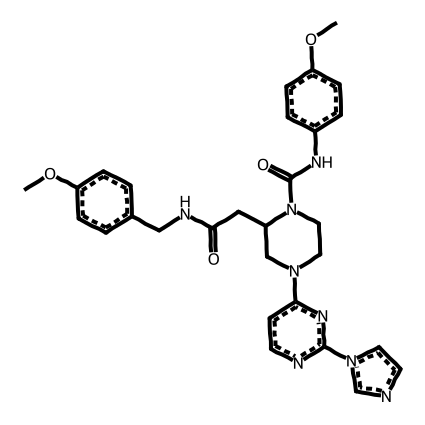 COc1ccc(CNC(=O)CC2CN(c3ccnc(-n4ccnc4)n3)CCN2C(=O)Nc2ccc(OC)cc2)cc1